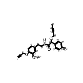 C#CCOc1ccc(CCNC(=O)C(OCC#CC)c2ccc(Br)cc2)cc1OC